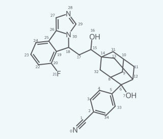 N#Cc1ccc(C2(O)C3CC4CC2CC(C(O)CC2c5c(F)cccc5-c5cncn52)(C4)C3)cc1